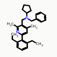 CCc1cccc(CC)c1-c1cc(C)c(CN(Cc2ccccc2)C2CCCC2)c(C)n1